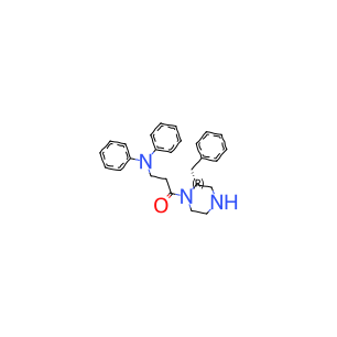 O=C(CCN(c1ccccc1)c1ccccc1)N1CCNC[C@H]1Cc1ccccc1